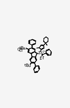 CC/[C](c1ccccc1)=[Zr+2](/[C]1=CC(C2(C)CCCCC2)=CC1C)[CH]1c2cc(-c3ccccc3)c(C(C)(C)C)cc2-c2cc(C(C)(C)C)c(-c3ccccc3)cc21.[Cl-].[Cl-]